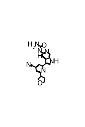 N#Cc1cc(-c2c[nH]c3cnc(NC(N)=O)cc23)nc(C2CCOC2)c1